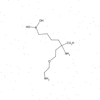 NCCOCCC(N)(CCCCB(O)O)C(=O)O